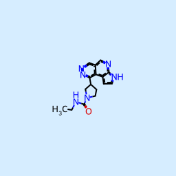 CCNC(=O)N1CCC(c2nncc3cnc4[nH]ccc4c23)C1